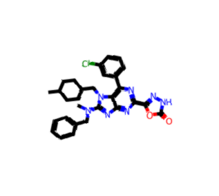 CC1CCC(Cn2c(N(C)Cc3ccccc3)nc3nc(-c4n[nH]c(=O)o4)nc(-c4cccc(Cl)c4)c32)CC1